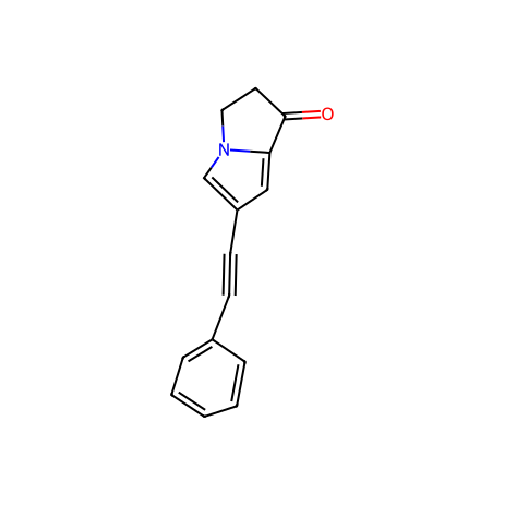 O=C1CCn2cc(C#Cc3ccccc3)cc21